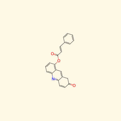 O=C1C=Cc2nc3cccc(OC(=O)/C=C/c4ccccc4)c3cc2C1